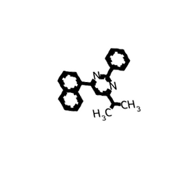 CC(C)c1cc(-c2cccc3ccccc23)nc(-c2ccccc2)n1